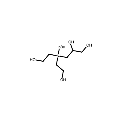 CCCC[N+](CCO)(CCO)CC(O)CO